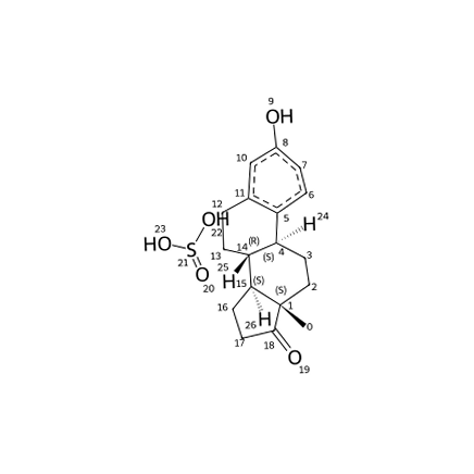 C[C@]12CC[C@@H]3c4ccc(O)cc4CC[C@H]3[C@@H]1CCC2=O.O=S(O)O